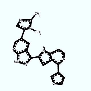 Cc1ncc(-c2cnc3[nH]nc(-c4cc5c(-c6ccoc6)nccc5[nH]4)c3c2)n1C